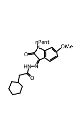 CCCCCN1C(=O)C(=NNC(=O)CC2CCCCC2)c2ccc(OC)cc21